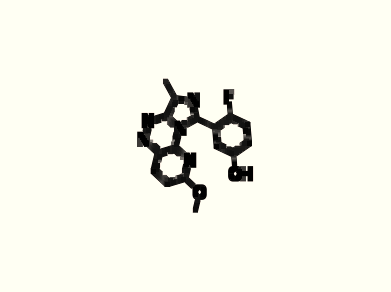 COc1ccc2nnc3c(C)nc(-c4cc(O)ccc4F)n3c2n1